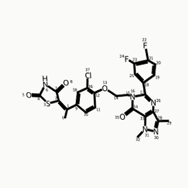 C/C(=C1\SC(=O)NC1=O)c1ccc(OCCn2c(-c3ccc(F)c(F)c3)nc3c(C)nn(C)c3c2=O)c(Cl)c1